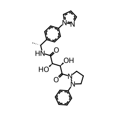 C[C@@H](NC(=O)[C@H](O)[C@@H](O)C(=O)N1CCCN1c1ccccc1)c1ccc(-n2cccn2)cc1